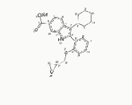 COC(=O)c1ccc2c(C3CCCCC3)c(-c3ccccc3OC[C@H]3CO3)[nH]c2c1